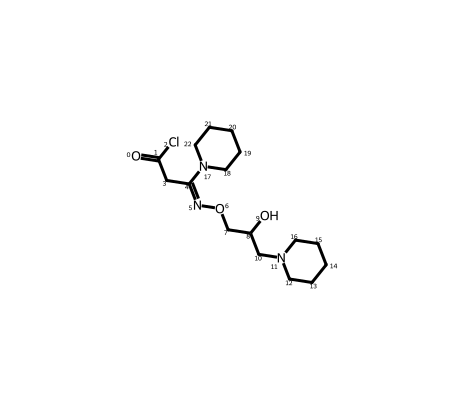 O=C(Cl)CC(=NOCC(O)CN1CCCCC1)N1CCCCC1